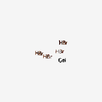 Br.Br.Br.Br.[Ge]